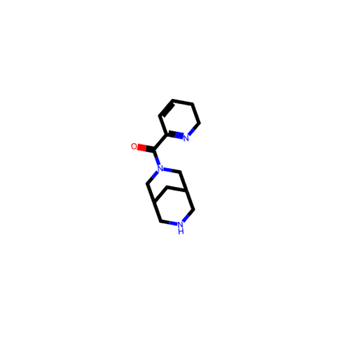 O=C(C1=NCCC=C1)N1CC2CNCC(C2)C1